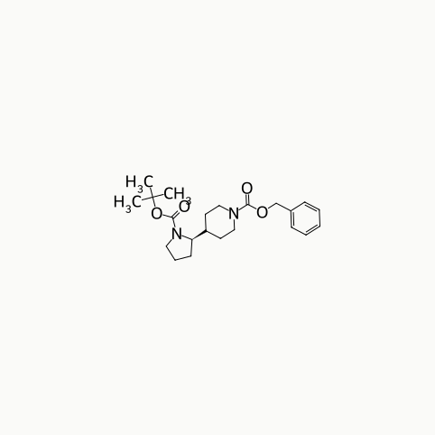 CC(C)(C)OC(=O)N1CCC[C@@H]1C1CCN(C(=O)OCc2ccccc2)CC1